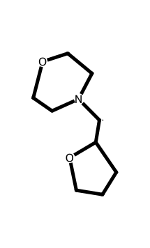 [CH](C1CCCO1)N1CCOCC1